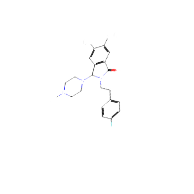 Cc1cc2c(cc1C)C(N1CCN(C)CC1)N(CCc1ccc(F)cc1)C2=O